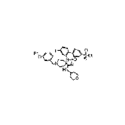 CCS(=O)(=O)c1ccc(-c2ccc(F)cc2N2C(=O)N=C(NC3CCOCC3)C23CCN(Cc2cccc(OC(C)C)c2)CC3)cc1